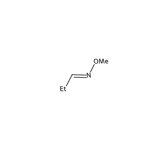 CCC=NOC